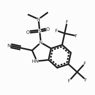 CN(C)S(=O)(=O)N1c2c(cc(C(F)(F)F)cc2C(F)(F)F)NC1C#N